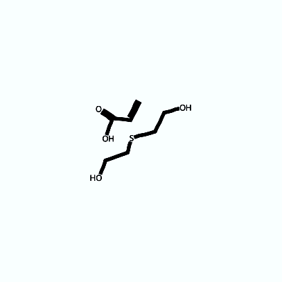 C=CC(=O)O.OCCSCCO